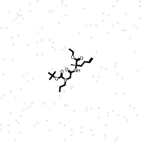 C=CCC[C@](C)(NC(=O)CN(CCC)C(=O)OC(C)(C)C)C(=O)OCC